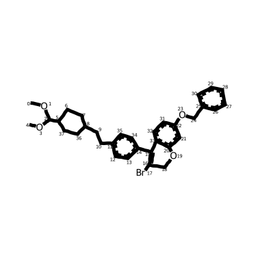 COC(OC)C1CCC(CCc2ccc(C3=C(Br)COc4cc(OCc5ccccc5)ccc43)cc2)CC1